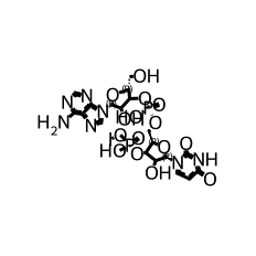 Nc1ncnc2c1ncn2[C@@H]1O[C@H](CO)C(OP(=O)(O)OC[C@H]2O[C@@H](n3ccc(=O)[nH]c3=O)C(O)C2OP(=O)(O)OI)C1O